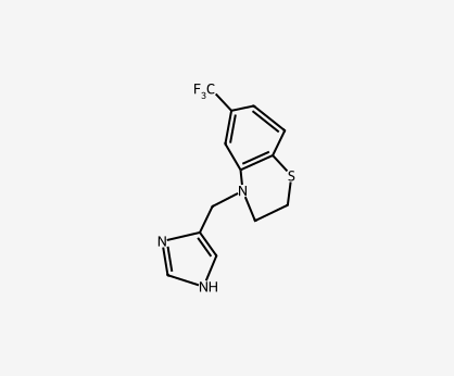 FC(F)(F)c1ccc2c(c1)N(Cc1c[nH]cn1)CCS2